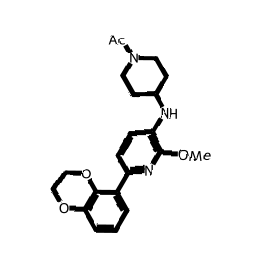 COc1nc(-c2cccc3c2OCCO3)ccc1NC1CCN(C(C)=O)CC1